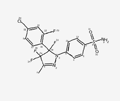 CC1=NN(c2ccc(S(N)(=O)=O)cc2)C(F)(c2ccc(Cl)cc2F)C1(F)F